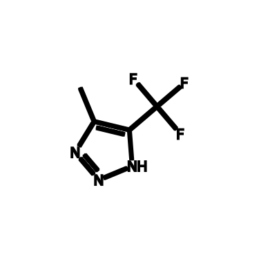 Cc1nn[nH]c1C(F)(F)F